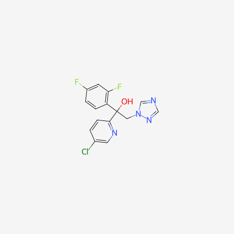 OC(Cn1cncn1)(c1ccc(Cl)cn1)c1ccc(F)cc1F